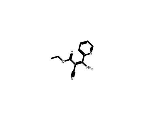 CCOC(=O)C(C#N)=C(N)c1ccccn1